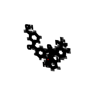 COc1ccc(C(=O)N2CCCC(CO)C2)cc1C(=O)N(c1ccc(F)c(C(F)(F)F)c1)[C@@H]1C[C@H]2CC[C@@H]1/C2=C\C1CC1